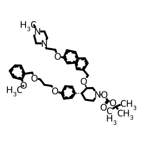 COc1ccccc1COCCCOc1ccc([C@H]2CCN(OC(=O)OC(C)(C)C)C[C@@H]2OCc2ccc3ccc(OCCN4CCN(C)CC4)cc3c2)cc1